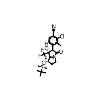 Cc1c(C2C(=O)N3CC[C@H](O[Si](C)(C)C(C)(C)C)C3[C@@]2(O)C(F)(F)F)ccc(C#N)c1Cl